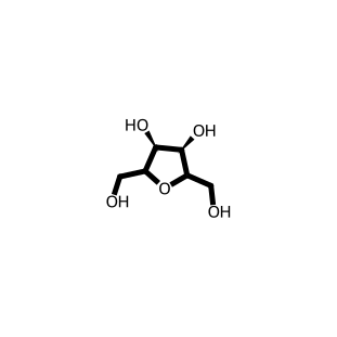 OCC1OC(CO)[C@H](O)[C@@H]1O